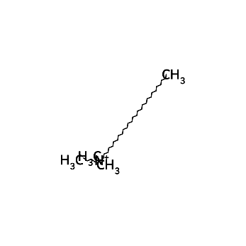 CCCCCCCCCCCCCCCCCCCCCCCCCCCC[N+](C)(C)CCCCC